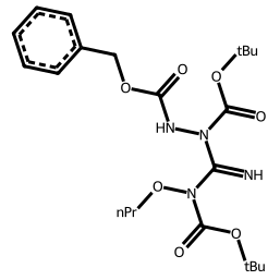 CCCON(C(=N)N(NC(=O)OCc1ccccc1)C(=O)OC(C)(C)C)C(=O)OC(C)(C)C